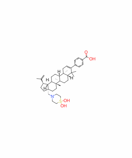 C=C(C)[C@@H]1CC[C@]2(CN3CCS(O)(O)CC3)CC[C@]3(C)[C@H](CC[C@@H]4[C@@]5(C)CC=C(c6ccc(C(=O)O)cc6)C(C)(C)[C@@H]5CC[C@]43C)[C@@H]12